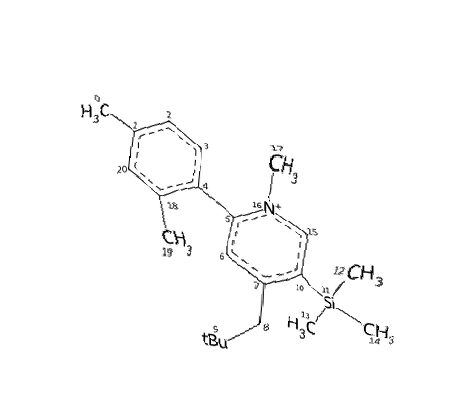 Cc1ccc(-c2cc(CC(C)(C)C)c([Si](C)(C)C)c[n+]2C)c(C)c1